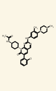 CC(=O)N[C@H]1CC[C@H](n2c(=O)c(-c3ccccc3Cl)cc3cnc(Nc4ccc(N5CCN(C)CC5)c(C)c4)nc32)CC1